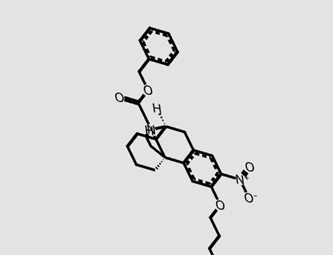 CCCCOc1cc2c(cc1[N+](=O)[O-])C[C@H]1[C@H]3CCCC[C@@]23CCN1C(=O)OCc1ccccc1